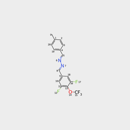 Cc1ccc(C=NN=Cc2cc(F)c(OC(F)(F)F)c(F)c2)cc1